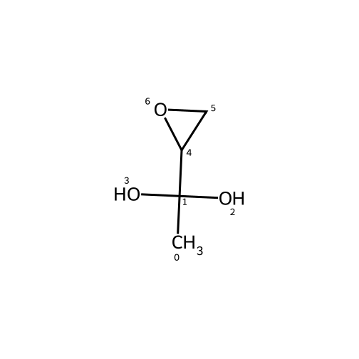 CC(O)(O)C1CO1